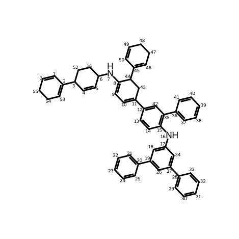 C1=CC(C2C=CC(NC3=CC=C(c4ccc(Nc5cc(-c6ccccc6)cc(-c6ccccc6)c5)c(-c5ccccc5)c4)CC3C3=CCCC=C3)CC2)=CCC1